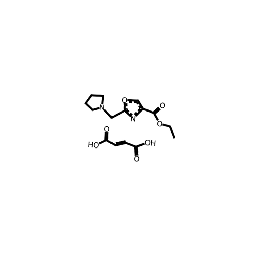 CCOC(=O)c1coc(CN2CCCC2)n1.O=C(O)C=CC(=O)O